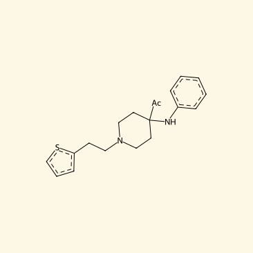 CC(=O)C1(Nc2ccccc2)CCN(CCc2cccs2)CC1